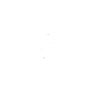 CCNc1cc2c(cc(N)n2OC)n1C